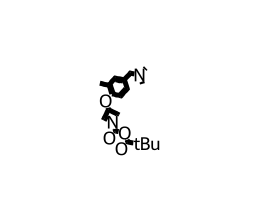 Cc1cc(CN(C)C)ccc1OC1CN(C(=O)OC(=O)C(C)(C)C)C1